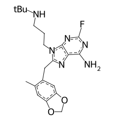 Cc1cc2c(cc1Cc1nc3c(N)nc(F)nc3n1CCCNC(C)(C)C)OCO2